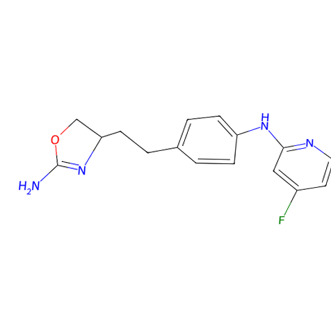 NC1=NC(CCc2ccc(Nc3cc(F)ccn3)cc2)CO1